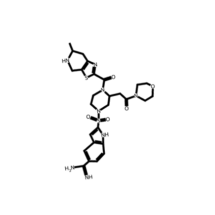 CC1Cc2nc(C(=O)N3CCN(S(=O)(=O)c4cc5cc(C(=N)N)ccc5[nH]4)CC3CC(=O)N3CCOCC3)sc2CN1